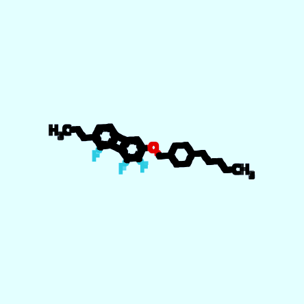 CCCCCC1CCC(COc2cc3c(c(F)c2F)-c2c-3ccc(CCC)c2F)CC1